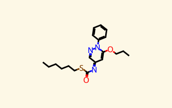 CCCCCCSC(=O)N=c1cnn(-c2ccccc2)c(OCCC)c1